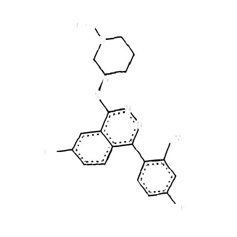 COc1cc(C)ccc1-c1nnc(N[C@@H]2CCCN(C(=O)O)C2)c2cc(C(F)(F)F)ccc12